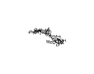 C=C1C[C@H]2[C@H](O)N(B(C)O)c3cc(OCCCOc4cc5c(cc4OC)C(=O)N4CC(=C)C[C@H]4[C@H](O)N5C(=O)OCc4ccc(NC(=O)[C@H](C)NC(=O)[C@@H](N)C(C)C)cc4)c(OC)cc3C(=O)N2C1